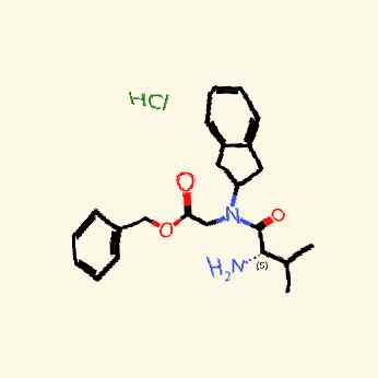 CC(C)[C@H](N)C(=O)N(CC(=O)OCc1ccccc1)C1Cc2ccccc2C1.Cl